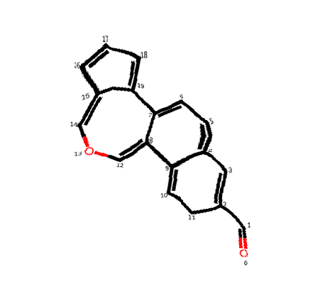 O=CC1=Cc2ccc3c(c2=CC1)=COC=C1C=CC=C13